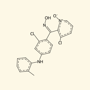 Cc1ccccc1Nc1ccc(C(=NO)c2c(Cl)ccc[n+]2[O-])c(Cl)c1